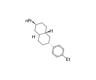 CCC[C@H]1CC[C@@H]2C[C@H](c3ccc(CC)cc3)CC[C@H]2C1